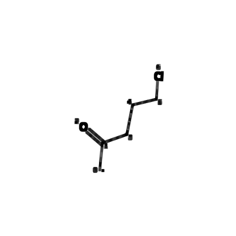 [CH2]C(=O)CCCCl